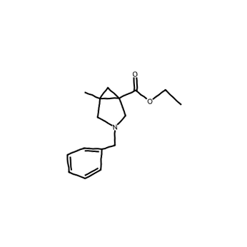 CCOC(=O)C12CN(Cc3ccccc3)CC1(C)C2